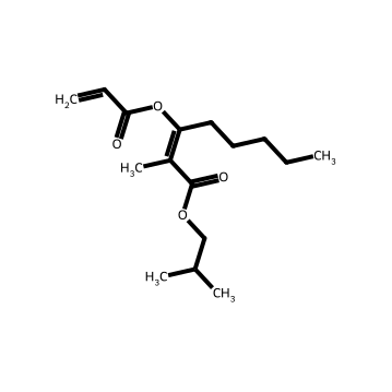 C=CC(=O)OC(CCCCC)=C(C)C(=O)OCC(C)C